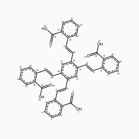 O=C(O)c1ccncc1C=Cc1nc(C=Cc2cnccc2C(=O)O)c(C=Cc2cnccc2C(=O)O)nc1C=Cc1cnccc1C(=O)O